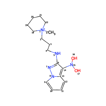 C[N+]1(CCCNc2nn3ccccc3c2N(O)O)CCCCC1